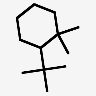 CC(C)(C)C1CCCCC1(C)C